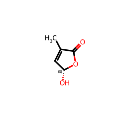 CC1=C[C@@H](O)OC1=O